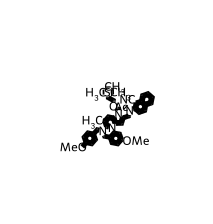 COc1ccc(CN(Cc2ccc(OC)cc2)c2nc3cc(CN(C(C)=O)c4ccc5ccccc5c4C#N)n(COCC[Si](C)(C)C)c3cc2C)cc1